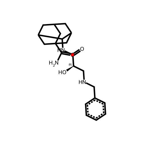 NC(=O)C12CC3CC(C1)C(NC(=O)[C@H](O)CNCc1ccccc1)C(C3)C2